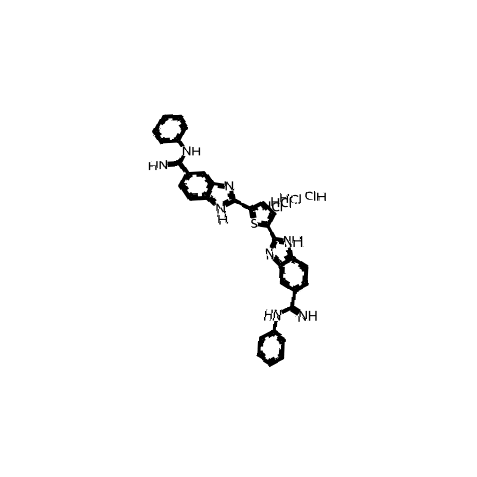 Cl.Cl.Cl.Cl.N=C(Nc1ccccc1)c1ccc2[nH]c(-c3ccc(-c4nc5cc(C(=N)Nc6ccccc6)ccc5[nH]4)s3)nc2c1